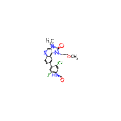 COCCn1c(=O)n(C)c2cnc3ccc(-c4cc(F)c(NC=O)cc4Cl)cc3c21